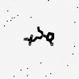 CCCN(CCCS(=O)(=O)O)c1cccc(Cl)c1